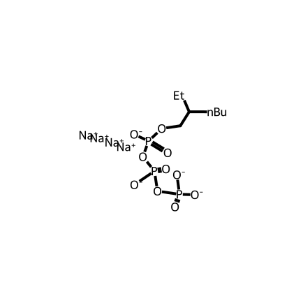 CCCCC(CC)COP(=O)([O-])OP(=O)([O-])OP(=O)([O-])[O-].[Na+].[Na+].[Na+].[Na+]